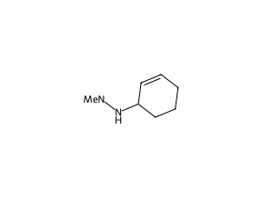 CNNC1C=CCCC1